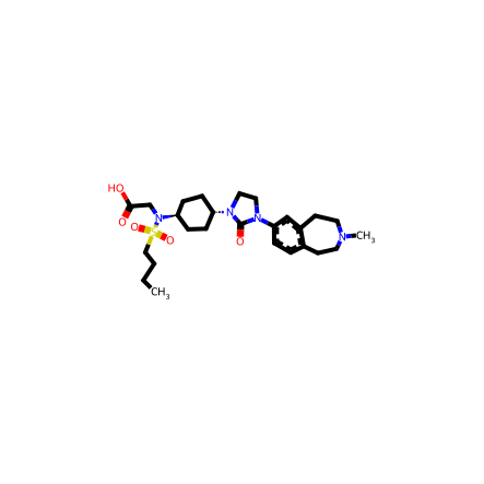 CCCCS(=O)(=O)N(CC(=O)O)[C@H]1CC[C@H](N2CCN(c3ccc4c(c3)CCN(C)CC4)C2=O)CC1